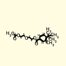 CC(=O)OCCOCCOC(=O)c1ccc(C(C)(C)C)c(C)c1